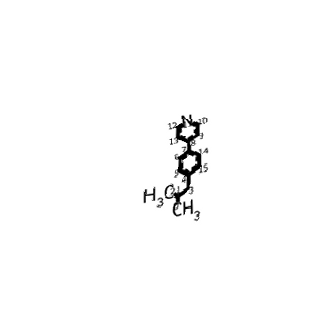 CC(C)Cc1ccc(-c2ccncc2)cc1